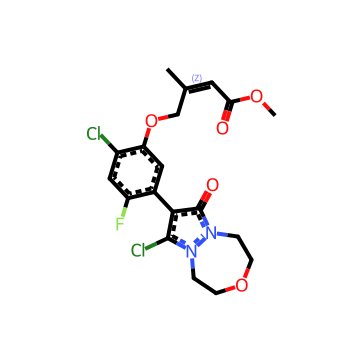 COC(=O)/C=C(/C)COc1cc(-c2c(Cl)n3n(c2=O)CCOCC3)c(F)cc1Cl